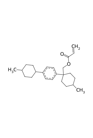 C=CC(=O)OCC1(c2ccc(C3CCC(C)CC3)cc2)CCC(C)CC1